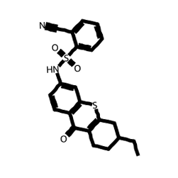 CCC1CCc2c(sc3cc(NS(=O)(=O)c4ccccc4C#N)ccc3c2=O)C1